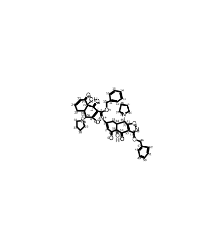 O=C1C=C([n+]2oc3c(c2OCc2ccccc2)C(=O)[C@@]2(O)C(=O)C=CCC2[C@@H]3N2CCCC2)CC2[C@H](N3CCCC3)c3onc(OCc4ccccc4)c3C(=O)[C@]12O